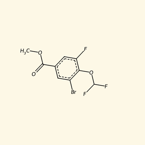 COC(=O)c1cc(F)c(OC(F)F)c(Br)c1